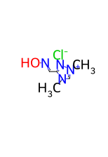 Cn1c[n+](C)nc1C=NO.[Cl-]